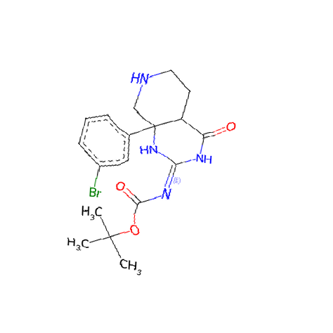 CC(C)(C)OC(=O)/N=C1/NC(=O)C2CCNCC2(c2cccc(Br)c2)N1